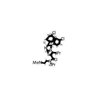 CNCCN(C(=O)C1=C(C(C)C)N2C(=N[C@@](C)(c3ccc(Cl)cc3)[C@H]2c2ccc(Cl)cc2)S1)C(C)C